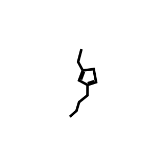 CCCCC1=CCC(CC)=C1